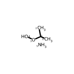 CC(C)OO.N